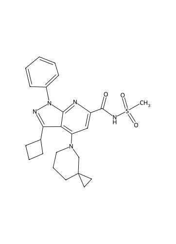 CS(=O)(=O)NC(=O)c1cc(N2CCCC3(CC3)C2)c2c(C3CCC3)nn(-c3ccccc3)c2n1